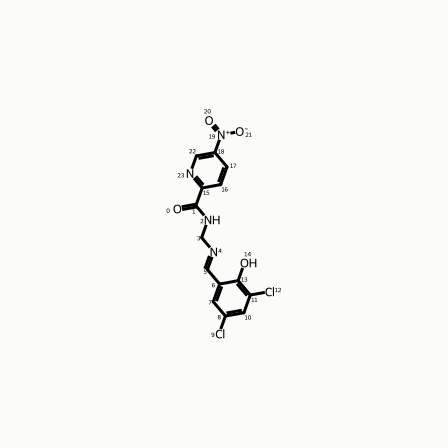 O=C(NC/N=C/c1cc(Cl)cc(Cl)c1O)c1ccc([N+](=O)[O-])cn1